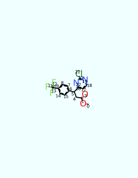 COC(=O)CC(c1ccc(C(F)(F)F)cc1)c1ccnc(Cl)n1